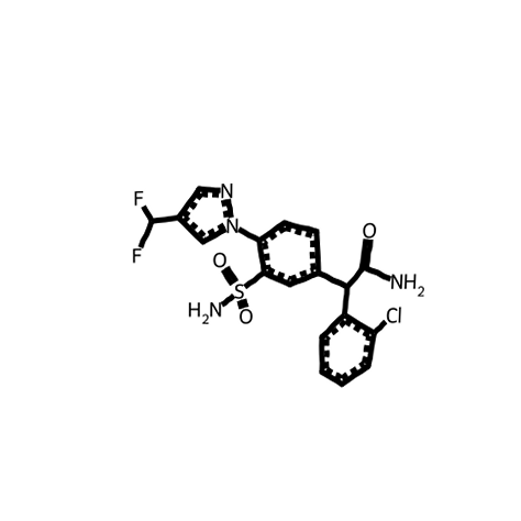 NC(=O)C(c1ccc(-n2cc(C(F)F)cn2)c(S(N)(=O)=O)c1)c1ccccc1Cl